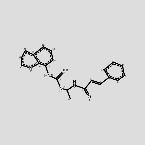 CC(NC(=O)/C=C/c1ccccc1)NC(=S)Nc1cccc2cccnc12